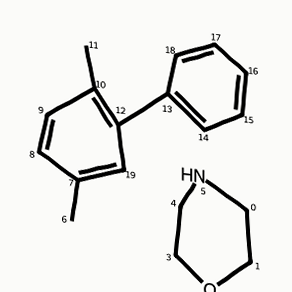 C1COCCN1.Cc1ccc(C)c(-c2ccccc2)c1